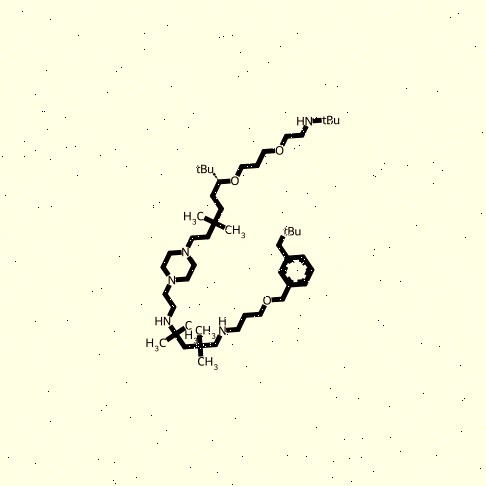 CC(C)(C)Cc1cccc(COCCCNCC(C)(C)CC(C)(C)NCCN2CCN(CCC(C)(C)CC[C@@H](OCCCOCCNC(C)(C)C)C(C)(C)C)CC2)c1